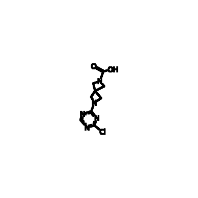 O=C(O)N1CC2(C1)CN(c1ncnc(Cl)n1)C2